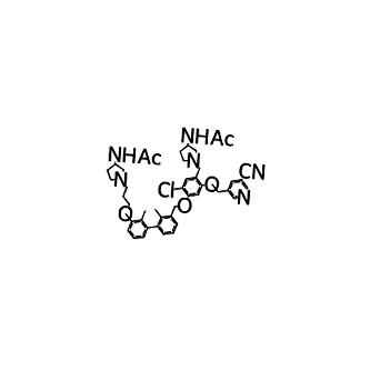 CC(=O)N[C@@H]1CCN(CCCOc2cccc(-c3cccc(COc4cc(OCc5cncc(C#N)c5)c(CN5CC[C@@H](NC(C)=O)C5)cc4Cl)c3C)c2C)C1